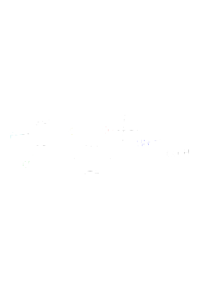 CC(C)(CNCC(=O)O)Oc1ccccc1Sc1ccc(F)c(Cl)c1